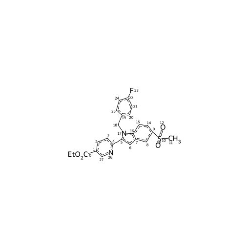 CCOC(=O)c1ccc(-c2cc3cc(S(C)(=O)=O)ccc3n2Cc2ccc(F)cc2)nc1